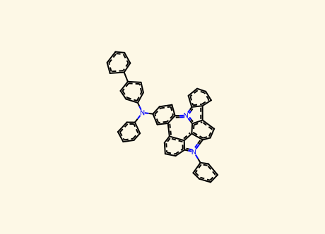 c1ccc(-c2ccc(N(c3ccccc3)c3ccc4c(c3)c3cccc5c3c3c(ccc6c7ccccc7n4c63)n5-c3ccccc3)cc2)cc1